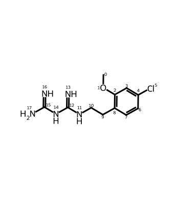 COc1cc(Cl)ccc1CCNC(=N)NC(=N)N